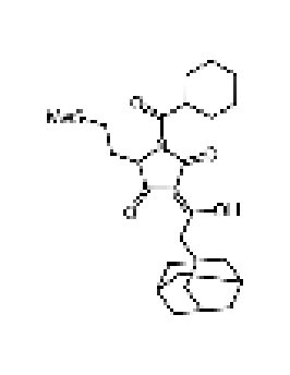 CSCCC1C(=O)/C(=C(/O)CC23CC4CC(CC(C4)C2)C3)C(=O)N1C(=O)C1CCCCC1